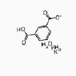 O.O=C([O-])c1cccc(C(=O)O)c1.P.[K+]